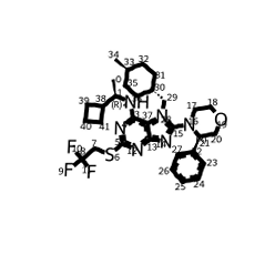 C[C@@H](Nc1nc(SCC(F)(F)F)nc2nc(N3CCOC[C@H]3c3ccccc3)n(C[C@H]3CC[C@H](C)CC3)c12)C1CCC1